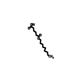 CCCCCCCCCOC(=O)CCCCC(=O)O